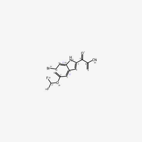 C=C(/C=c1/cc(C(=O)C(=C)C#N)[nH]/c1=C/CBr)OC(F)F